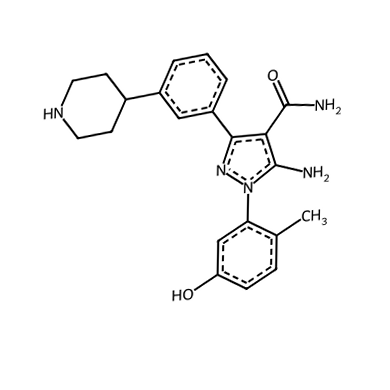 Cc1ccc(O)cc1-n1nc(-c2cccc(C3CCNCC3)c2)c(C(N)=O)c1N